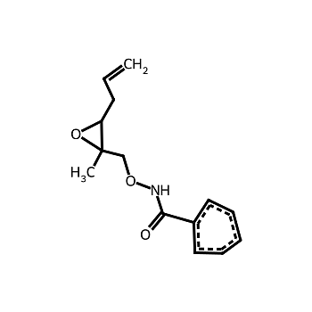 C=CCC1OC1(C)CONC(=O)c1ccccc1